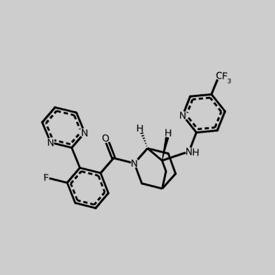 O=C(c1cccc(F)c1-c1ncccn1)N1CC2CC[C@H]1[C@H](Nc1ccc(C(F)(F)F)cn1)C2